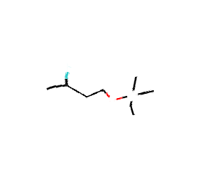 CC(F)[CH]CO[Si](C)(C)C